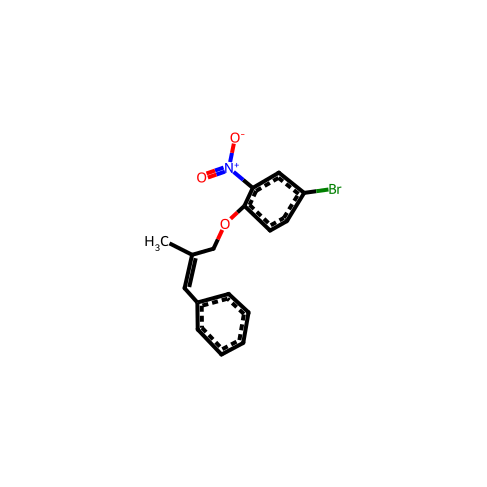 CC(=Cc1ccccc1)COc1ccc(Br)cc1[N+](=O)[O-]